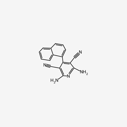 N#Cc1c(N)nc(N)c(C#N)c1-c1cccc2ccccc12